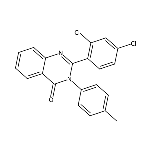 Cc1ccc(-n2c(-c3ccc(Cl)cc3Cl)nc3ccccc3c2=O)cc1